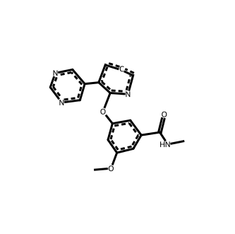 CNC(=O)c1cc(OC)cc(Oc2ncccc2-c2cncnc2)c1